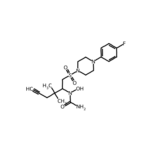 C#CCC(C)(C)C(CS(=O)(=O)N1CCN(c2ccc(F)cc2)CC1)N(O)C(N)=O